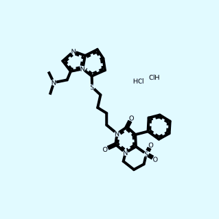 CN(C)Cc1cnc2cccc(SCCCCn3c(=O)c(-c4ccccc4)c4n(c3=O)CCCS4(=O)=O)n12.Cl.Cl